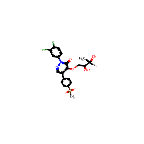 CC(C)(O)C(O)COc1c(-c2ccc(S(C)(=O)=O)cc2)cnn(-c2ccc(F)c(Cl)c2)c1=O